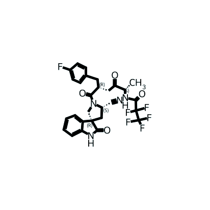 C[C@H](NC(=O)C(F)(F)C(F)(F)F)C(=O)C[C@@H](Cc1ccc(F)cc1)C(=O)N1C[C@]2(C[C@H]1C#N)C(=O)Nc1ccccc12